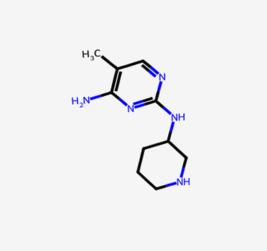 Cc1cnc(NC2CCCNC2)nc1N